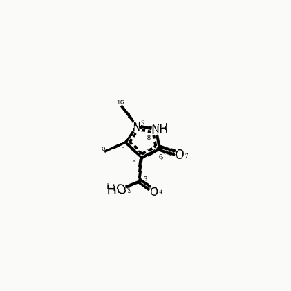 Cc1c(C(=O)O)c(=O)[nH]n1C